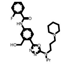 CC(C)N(CCCN1CCCCC1)c1nnc(-c2ccc(NC(=O)c3ccccc3F)cc2CO)o1